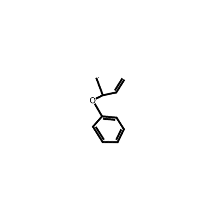 [CH2]C(C=C)Oc1ccccc1